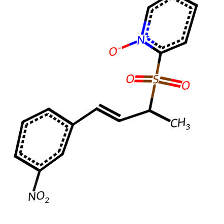 CC(C=Cc1cccc([N+](=O)[O-])c1)S(=O)(=O)c1cccc[n+]1[O-]